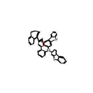 c1cc(-c2ccccc2N(c2ccc3c(c2)sc2ccccc23)c2ccc3c(c2)sc2ccccc23)cc(-c2cccc3ccccc23)c1